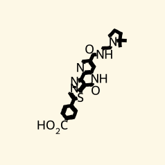 CC1(C)CCCN1CCNC(=O)c1cnc2c(c1)[nH]c(=O)c1c2nn2cc(-c3ccc(C(=O)O)cc3)sc12